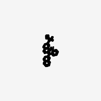 CC1(C)C(=O)C1C1=Cc2c(ccc3c(C4=Cc5ccccc5CC4)c4ccccc4nc23)CC1